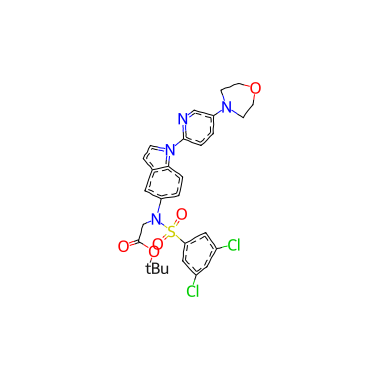 CC(C)(C)OC(=O)CN(c1ccc2c(ccn2-c2ccc(N3CCOCC3)cn2)c1)S(=O)(=O)c1cc(Cl)cc(Cl)c1